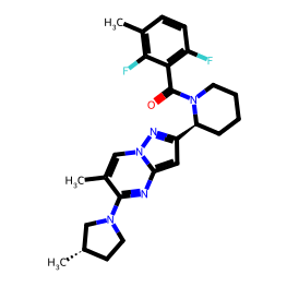 Cc1cn2nc([C@@H]3CCCCN3C(=O)c3c(F)ccc(C)c3F)cc2nc1N1CC[C@H](C)C1